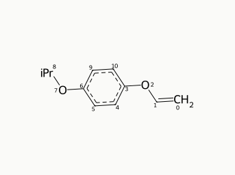 C=COc1ccc(OC(C)C)cc1